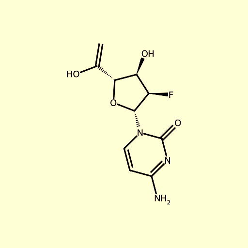 C=C(O)[C@H]1O[C@@H](n2ccc(N)nc2=O)[C@H](F)[C@@H]1O